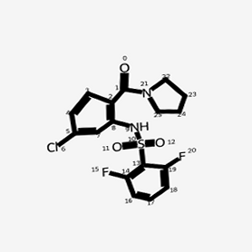 O=C(c1ccc(Cl)cc1NS(=O)(=O)c1c(F)cccc1F)N1CCCC1